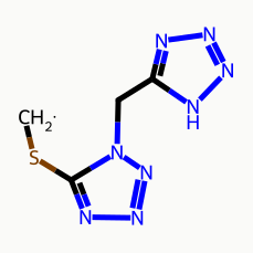 [CH2]Sc1nnnn1Cc1nnn[nH]1